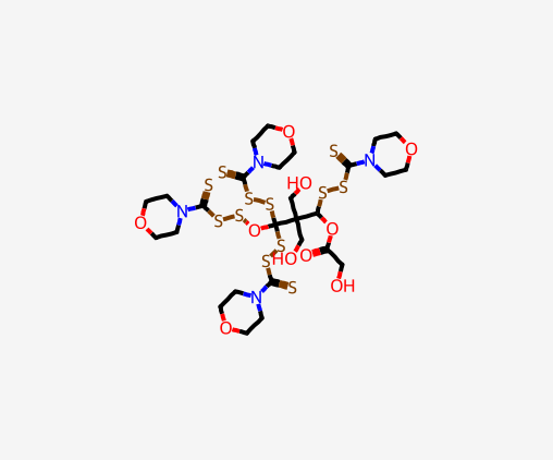 O=C(CO)OC(SSC(=S)N1CCOCC1)C(CO)(CO)C(OSSC(=S)N1CCOCC1)(SSC(=S)N1CCOCC1)SSC(=S)N1CCOCC1